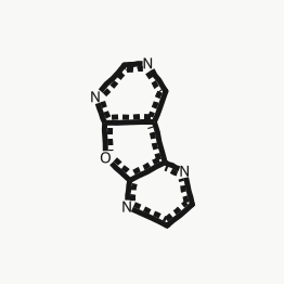 c1ncc2c(n1)oc1nccnc12